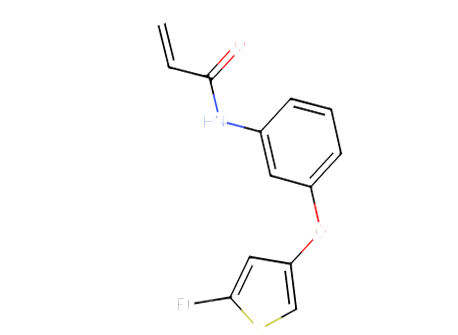 C=CC(=O)Nc1cccc(Oc2csc(CC)c2)c1